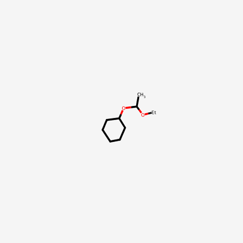 [CH2]COC(C)OC1CCCCC1